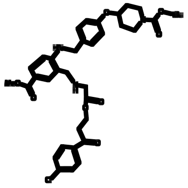 COC(=O)c1ccc(NCc2ccc(OC3CCN(C(=O)OC(C)(C)C)CC3)cc2)c(CNCC(=O)OCCC(=O)c2ccc(Cl)cc2)c1